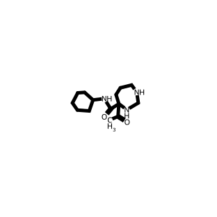 CC(=O)C1(C(=O)NC2CCCCC2)CCCNCN1